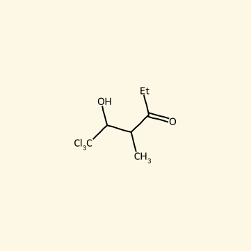 CCC(=O)C(C)C(O)C(Cl)(Cl)Cl